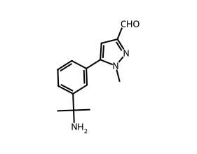 Cn1nc(C=O)cc1-c1cccc(C(C)(C)N)c1